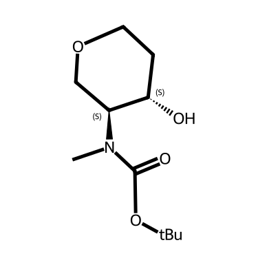 CN(C(=O)OC(C)(C)C)[C@H]1COCC[C@@H]1O